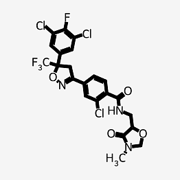 CN1COC(CNC(=O)c2ccc(C3=NOC(c4cc(Cl)c(F)c(Cl)c4)(C(F)(F)F)C3)cc2Cl)C1=O